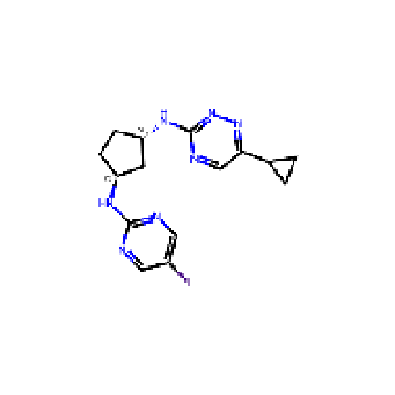 Ic1cnc(N[C@H]2CC[C@H](Nc3ncc(C4CC4)nn3)C2)nc1